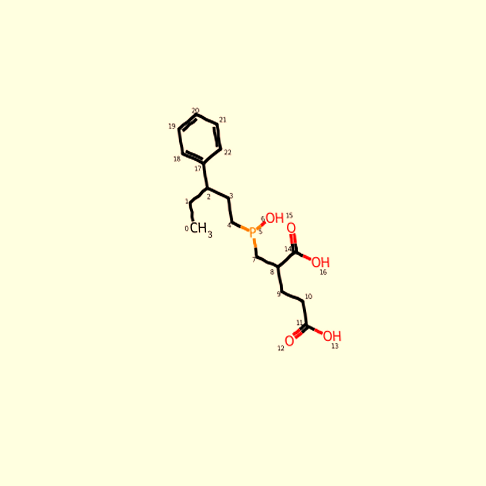 CCC(CCP(O)CC(CCC(=O)O)C(=O)O)c1ccccc1